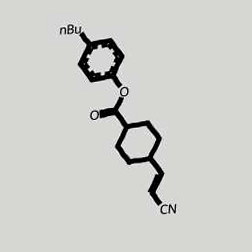 CCCCc1ccc(OC(=O)C2CCC(/C=C/C#N)CC2)cc1